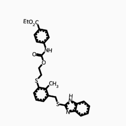 CCOC(=O)c1ccc(NC(=O)OCCSc2cccc(CSc3nc4ccccc4[nH]3)c2C)cc1